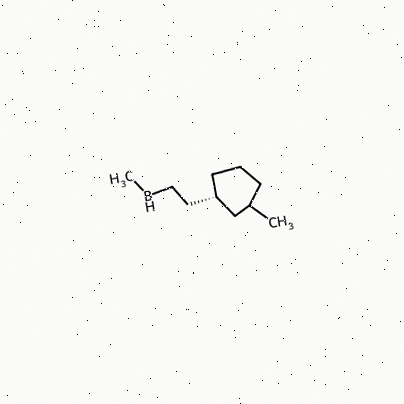 CBCC[C@@H]1CCCC(C)C1